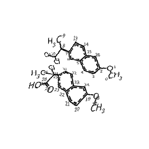 COc1ccc2cc(C(C)C(=O)Cl)ccc2c1.COc1ccc2cc([C@@](C)(Cl)C(=O)O)ccc2c1